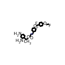 [CH2]C(COC(=O)/C=C/c1ccc(OC(F)(F)c2ccc(OCCF)cc2)cc1)c1ccc(N)cc1N